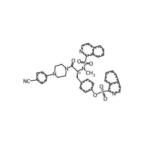 CN([C@@H](Cc1ccc(OS(=O)(=O)c2nccc3ccccc23)cc1)C(=O)N1CCN(c2ccc(C#N)cc2)CC1)S(=O)(=O)c1nccc2ccccc12